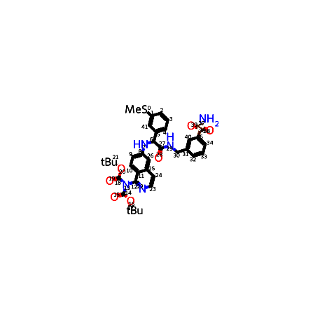 CSc1cccc(C(Nc2ccc3c(N(C(=O)OC(C)(C)C)C(=O)OC(C)(C)C)nccc3c2)C(=O)NCc2cccc(S(N)(=O)=O)c2)c1